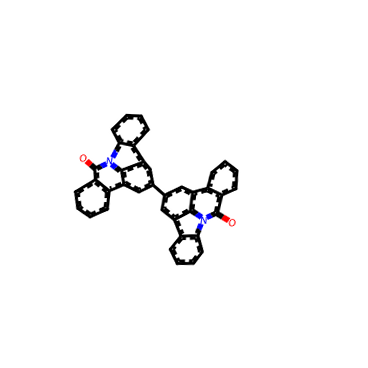 O=c1c2ccccc2c2cc(-c3cc4c5ccccc5c(=O)n5c6ccccc6c(c3)c45)cc3c4ccccc4n1c23